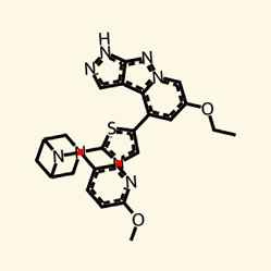 CCOc1cc(-c2cnc(N3CC4CC(C3)N4Cc3ccc(OC)nc3)s2)c2c3cn[nH]c3nn2c1